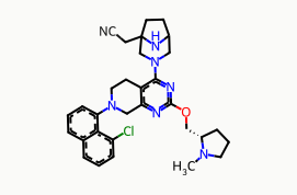 CN1CCC[C@H]1COc1nc2c(c(N3CC4CCC(CC#N)(C3)N4)n1)CCN(c1cccc3cccc(Cl)c13)C2